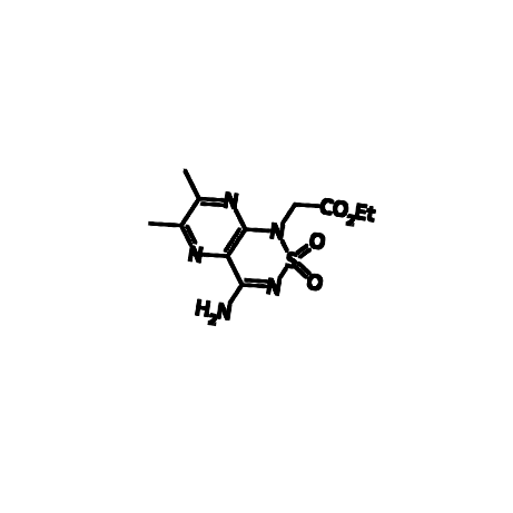 CCOC(=O)CN1c2nc(C)c(C)nc2C(N)=NS1(=O)=O